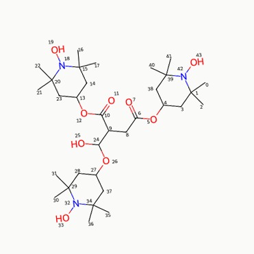 CC1(C)CC(OC(=O)CC(C(=O)OC2CC(C)(C)N(O)C(C)(C)C2)C(O)OC2CC(C)(C)N(O)C(C)(C)C2)CC(C)(C)N1O